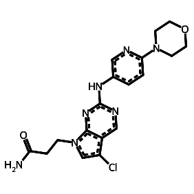 NC(=O)CCn1cc(Cl)c2cnc(Nc3ccc(N4CCOCC4)nc3)nc21